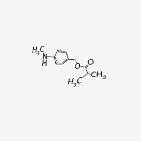 CNc1ccc(COC(=O)C(C)C)cc1